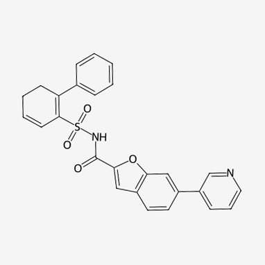 O=C(NS(=O)(=O)C1=C(c2ccccc2)CCC=C1)c1cc2ccc(-c3cccnc3)cc2o1